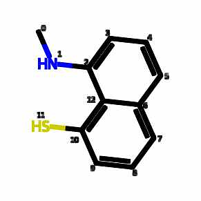 CNc1cccc2cccc(S)c12